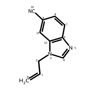 C=CCn1cnc2ccc(C#N)cc21